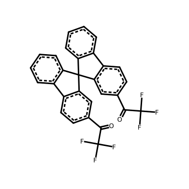 O=C(c1ccc2c(c1)C1(c3ccccc3-2)c2ccccc2-c2ccc(C(=O)C(F)(F)F)cc21)C(F)(F)F